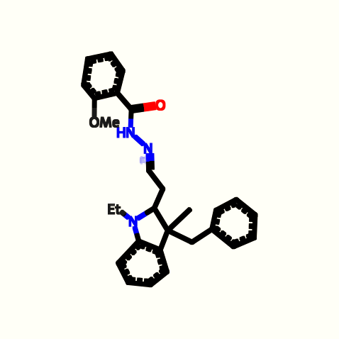 CCN1c2ccccc2C(C)(Cc2ccccc2)C1C/C=N/NC(=O)c1ccccc1OC